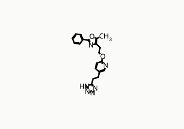 Cc1oc(-c2ccccc2)nc1CCOc1ccc(CCc2nnn[nH]2)cn1